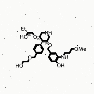 CC[C@@H](O)CO[C@@H]1CNC[C@H](OCc2ccc(O)c(NCCCOC)c2)[C@H]1c1ccc(COCCO)cc1